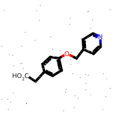 O=C(O)Cc1ccc(OCc2ccncc2)cc1